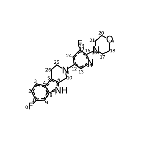 Fc1ccc2c3c([nH]c2c1)CN(c1cnc(N2CCOCC2)c(F)c1)CC3